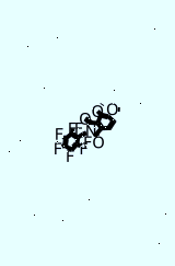 COc1ccc2c(c1OC)C(=O)N(C(F)(F)c1c(F)c(F)c(F)c(F)c1F)C2=O